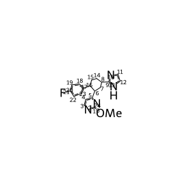 COc1nccc(C2CC(c3ncc[nH]3)CCC2c2ccc(F)cc2)n1